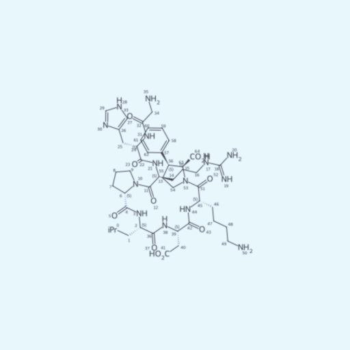 CC(C)C[C@H](NC(=O)[C@@H]1CCCN1C(=O)[C@H](CCCNC(=N)N)NC(=O)[C@H](Cc1c[nH]cn1)NC(=O)CN)C(=O)N[C@@H](CC(=O)O)C(=O)N[C@@H](CCCCN)C(=O)N1CC[C@@H](c2ccccc2)[C@H]1C(=O)O